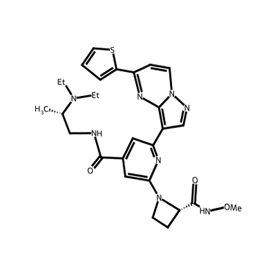 CCN(CC)[C@@H](C)CNC(=O)c1cc(-c2cnn3ccc(-c4cccs4)nc23)nc(N2CC[C@H]2C(=O)NOC)c1